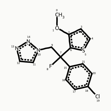 COc1ccsc1C(F)(Cn1ccnn1)c1ccc(Cl)cc1